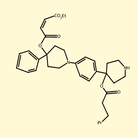 CCOC(=O)/C=C\C(=O)OC1(c2ccccc2)CCN(c2ccc(C3(OC(=O)CCC(C)C)CCNCC3)cc2)CC1